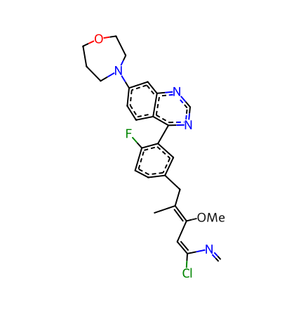 C=N/C(Cl)=C\C(OC)=C(/C)Cc1ccc(F)c(-c2ncnc3cc(N4CCCOCC4)ccc23)c1